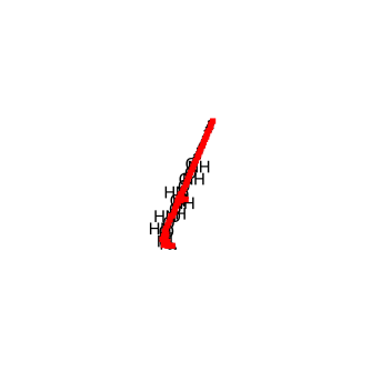 CCCCCCCCCCCCCCCCCCCCCCCCCCCCCC(=O)NCCCOCCCNC(=O)CCCOCCCNC(=O)CCC[C@H](NC(=O)CC(C)C)C(=O)NCCCOCCCC(=O)NCCCOCCCNC(=O)O[C@H]1CC[C@@]2(C)C(=CC[C@H]3[C@@H]4CC[C@H]([C@H](C)CCCC(C)C)[C@@]4(C)CC[C@@H]32)C1